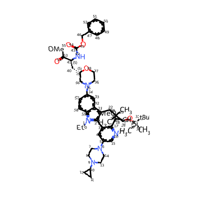 CCn1c(-c2cc(N3CCN(C4CC4)CC3)cnc2[C@H](C)OC)c(CC(C)(C)CO[Si](C)(C)C(C)(C)C)c2cc(N3CCO[C@@H](C[C@H](NC(=O)OCc4ccccc4)C(=O)OC)C3)ccc21